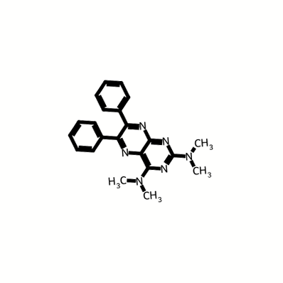 CN(C)c1nc(N(C)C)c2nc(-c3ccccc3)c(-c3ccccc3)nc2n1